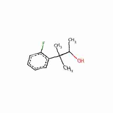 CC(O)C(C)(C)c1ccccc1F